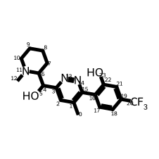 Cc1cc(C(O)C2CCCCN2C)nnc1-c1ccc(C(F)(F)F)cc1O